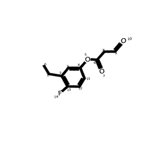 CCc1cc(OC(=O)CC=O)ccc1F